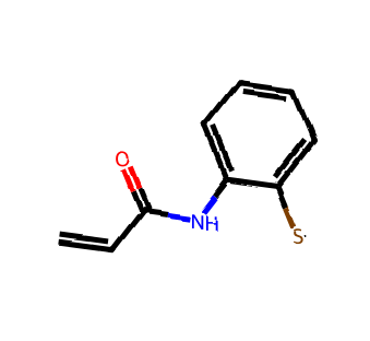 C=CC(=O)Nc1ccccc1[S]